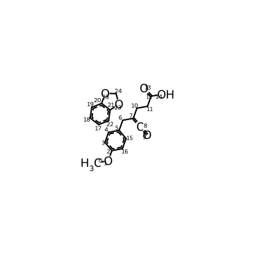 COc1ccc(CC(=C=O)CCC(=O)O)cc1.c1ccc2c(c1)OCO2